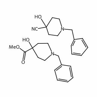 COC(=O)C1(O)CCN(Cc2ccccc2)CC1.N#CC1(O)CCN(Cc2ccccc2)CC1